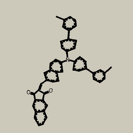 Cc1cccc(-c2ccc(N(c3ccc(-c4cccc(C)c4)cc3)c3ccc4cc(C=C5C(=O)c6cc7ccccc7cc6C5=O)ccc4c3)cc2)c1